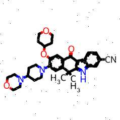 CC1(C)c2cc(N3CCC(N4CCOCC4)CC3)c(OC3CCOCC3)cc2C(=O)c2c1[nH]c1cc(C#N)ccc21